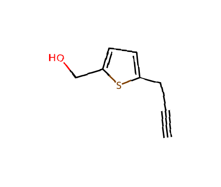 C#CCc1ccc(CO)s1